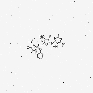 Cc1nc(N(C)C)c2ncn([C@@H]3O[C@](CCl)(COP(=S)(N[C@@H](C)C(=O)OC(C)C)Oc4ccccc4)[C@@H](O)[C@@H]3F)c2n1